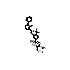 Cc1c(/C=C/c2cc(C(O)(O)NC(CO)C(=O)O)ccc2C(F)(F)F)cccc1-c1ccccc1